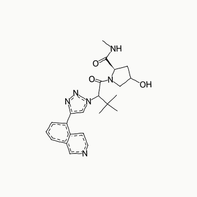 CNC(=O)[C@H]1CC(O)CN1C(=O)C(n1cc(-c2cccc3cnccc23)nn1)C(C)(C)C